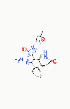 Cc1cc(Cn2nc3c(-c4ccc(=O)[nH]c4)c(-c4ccccc4)nc(N)n3c2=O)no1